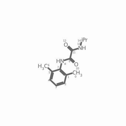 Cc1cccc(C)c1NC(=O)C(=O)NC(C)C